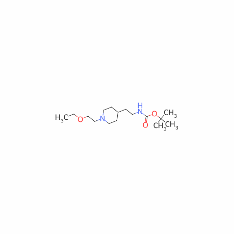 CCOCCN1CCC(CCNC(=O)OC(C)(C)C)CC1